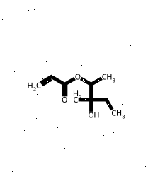 C=CC(=O)OC(C)C(C)(O)CC